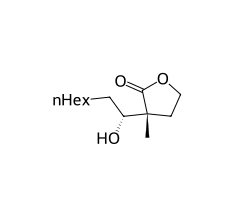 CCCCCCC[C@@H](O)[C@@]1(C)CCOC1=O